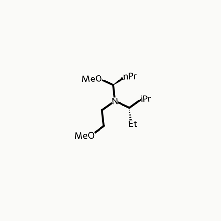 CCC[C@H](OC)N(CCOC)[C@@H](CC)C(C)C